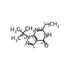 CCc1nc2c(cnn2C(C)(C)C)c(=O)[nH]1